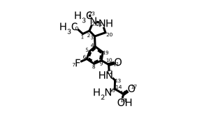 CCC1C(c2cc(F)cc(C(=O)NC[C@@H](N)C(=O)O)c2)CNN1C